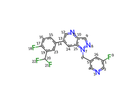 Fc1cncc(Cn2ncc3ncc(-c4ccc(F)c(C(F)F)c4)cc32)c1